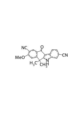 COc1cc2c(cc1C#N)C(=O)c1c([nH]c3cc(C#N)ccc13)C2(C)C